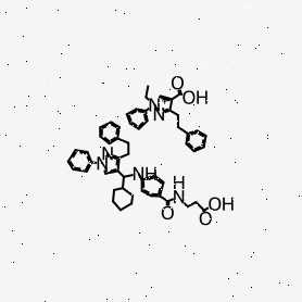 CC[N+]1(c2ccccc2)C=C(C(=O)O)C(CCc2ccccc2)=N1.O=C(O)CCNC(=O)c1ccc(NC(c2cn(-c3ccccc3)nc2CCc2ccccc2)C2CCCCC2)cc1